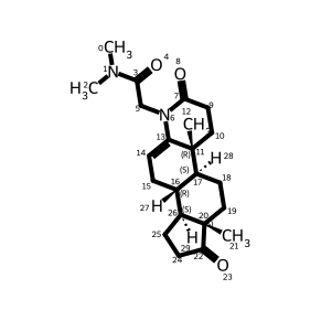 CN(C)C(=O)CN1C(=O)CC[C@@]2(C)C1=CC[C@@H]1[C@@H]2CC[C@]2(C)C(=O)CC[C@@H]12